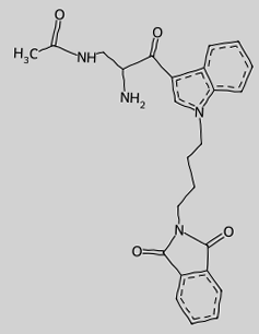 CC(=O)NCC(N)C(=O)c1cn(CCCCN2C(=O)c3ccccc3C2=O)c2ccccc12